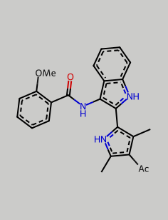 COc1ccccc1C(=O)Nc1c(-c2[nH]c(C)c(C(C)=O)c2C)[nH]c2ccccc12